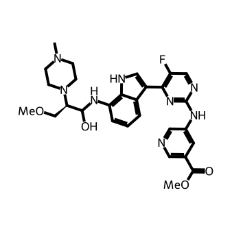 COC[C@H](C(O)Nc1cccc2c(-c3nc(Nc4cncc(C(=O)OC)c4)ncc3F)c[nH]c12)N1CCN(C)CC1